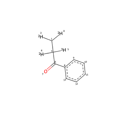 [2H]C([2H])C([2H])([2H])C(=O)c1ccccc1